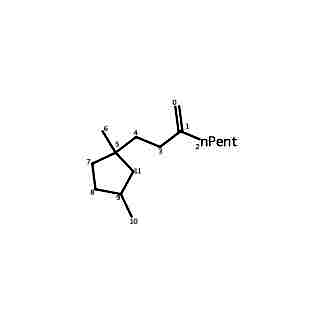 C=C(CCCCC)CCC1(C)CCC(C)C1